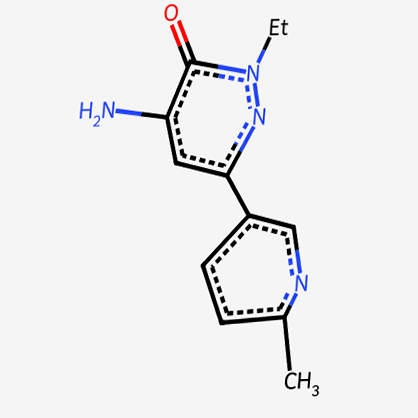 CCn1nc(-c2ccc(C)nc2)cc(N)c1=O